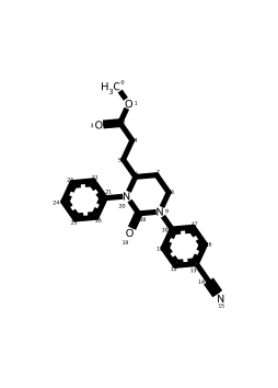 COC(=O)CCC1CCN(c2ccc(C#N)cc2)C(=O)N1c1ccccc1